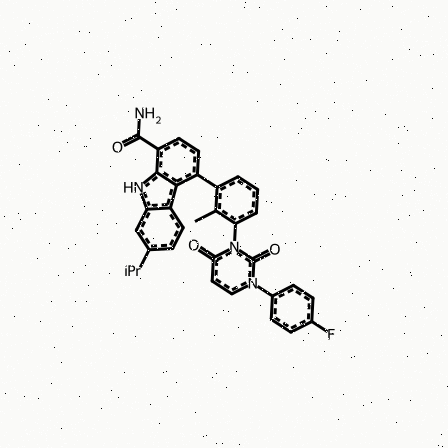 Cc1c(-c2ccc(C(N)=O)c3[nH]c4cc(C(C)C)ccc4c23)cccc1-n1c(=O)ccn(-c2ccc(F)cc2)c1=O